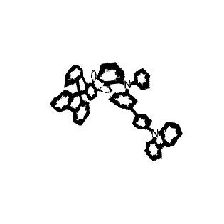 c1ccc(N(c2cccc(-c3ccc(-n4c5ccccc5c5ccccc54)cc3)c2)c2cccc3c2Oc2ccc4c(c2O3)-c2ccccc2C42c3ccccc3-c3ccccc32)cc1